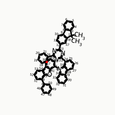 CC1(C)c2ccccc2-c2ccc(-c3nc(-c4ccccc4)nc(-c4cccc5c6ccccc6n(-c6cccc7c6oc6c(-c8ccccc8)cccc67)c45)n3)cc21